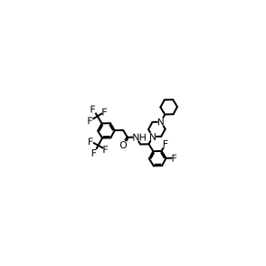 O=C(Cc1cc(C(F)(F)F)cc(C(F)(F)F)c1)NCC(c1cccc(F)c1F)N1CCN(C2CCCCC2)CC1